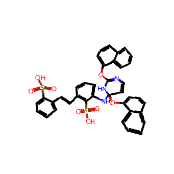 O=S(=O)(O)c1ccccc1C=Cc1cccc(NC2(Oc3cccc4ccccc34)C=CN=C(Oc3cccc4ccccc34)N2)c1S(=O)(=O)O